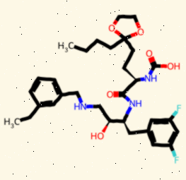 CCCCC1(CC[C@@H](NC(=O)O)C(=O)N[C@@H](Cc2cc(F)cc(F)c2)[C@@H](O)CNCc2cccc(CC)c2)OCCO1